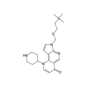 C[Si](C)(C)CCOCn1ccc2c1ncc1c(=O)ccn(C3CCNCC3)c12